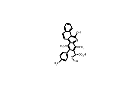 Cc1ccc(-c2c([C@H](OC(C)(C)C)C(=O)O)c(C)c3nc(O)c4c5ccccc5ccc4c3c2C)cc1